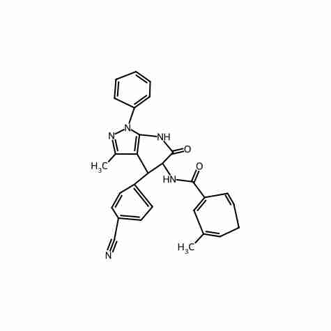 CC1=CCC=CC(C(=O)NC2C(=O)Nc3c(c(C)nn3-c3ccccc3)C2c2ccc(C#N)cc2)=C1